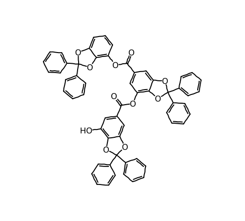 O=C(Oc1cccc2c1OC(c1ccccc1)(c1ccccc1)O2)c1cc(OC(=O)c2cc(O)c3c(c2)OC(c2ccccc2)(c2ccccc2)O3)c2c(c1)OC(c1ccccc1)(c1ccccc1)O2